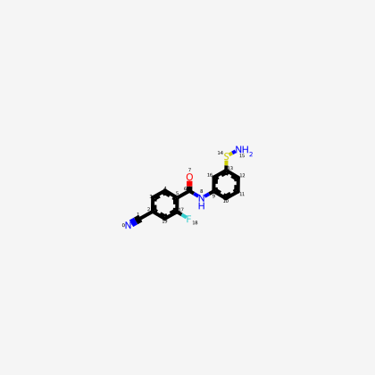 N#Cc1ccc(C(=O)Nc2cccc(SN)c2)c(F)c1